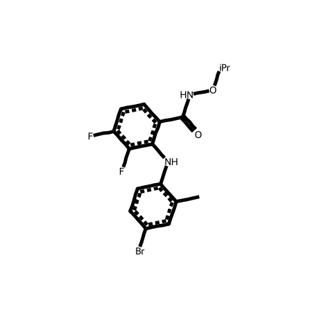 Cc1cc(Br)ccc1Nc1c(C(=O)NOC(C)C)ccc(F)c1F